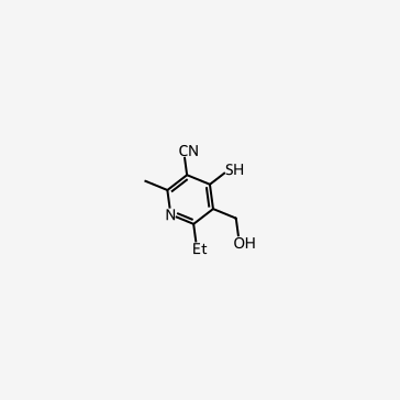 CCc1nc(C)c(C#N)c(S)c1CO